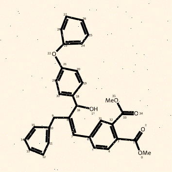 COC(=O)c1ccc(C=C(Cc2ccccc2)C(O)c2ccc(Oc3ccccc3)cc2)cc1C(=O)OC